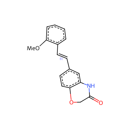 COc1ccccc1/C=C/c1ccc2c(c1)NC(=O)CO2